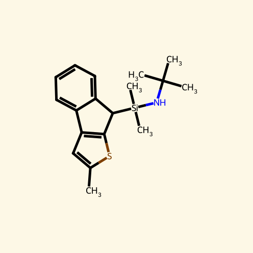 Cc1cc2c(s1)C([Si](C)(C)NC(C)(C)C)c1ccccc1-2